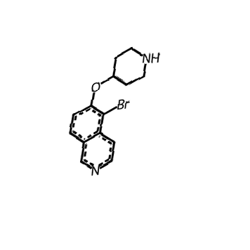 Brc1c(OC2CCNCC2)ccc2cnccc12